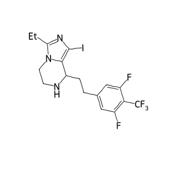 CCc1nc(I)c2n1CCNC2CCc1cc(F)c(C(F)(F)F)c(F)c1